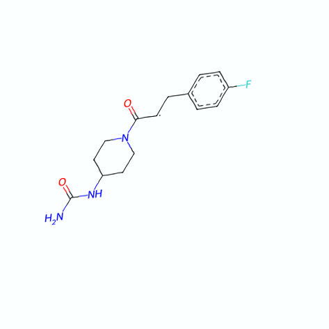 NC(=O)NC1CCN(C(=O)[CH]Cc2ccc(F)cc2)CC1